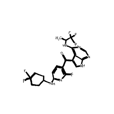 CC(Nc1ncnc2[nH]cc(C(=O)c3ccc(NC4CCC(F)(F)CC4)nc3F)c12)C(F)(F)F